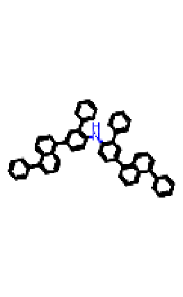 c1ccc(-c2cc(-c3cccc4c(-c5ccccc5)cccc34)ccc2Nc2ccc(-c3cccc4c(-c5ccccc5)cccc34)cc2-c2ccccc2)cc1